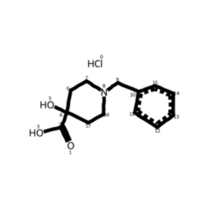 Cl.O=C(O)C1(O)CCN(Cc2ccccc2)CC1